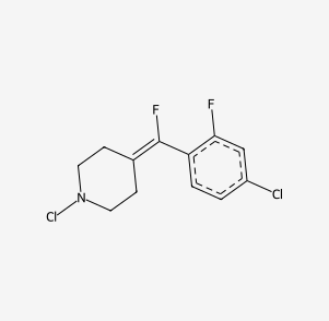 FC(=C1CCN(Cl)CC1)c1ccc(Cl)cc1F